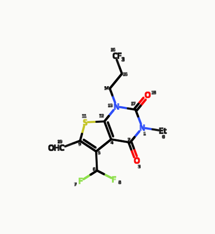 CCn1c(=O)c2c(C(F)F)c(C=O)sc2n(CCC(F)(F)F)c1=O